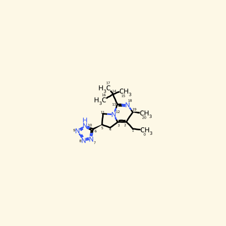 CCC1=C2C[C@@H](c3nnn[nH]3)CN2C(C(C)(C)C)=N[C@H]1C